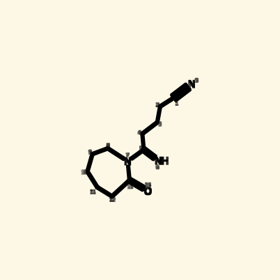 N#CCCCC(=N)N1CCCCCC1=O